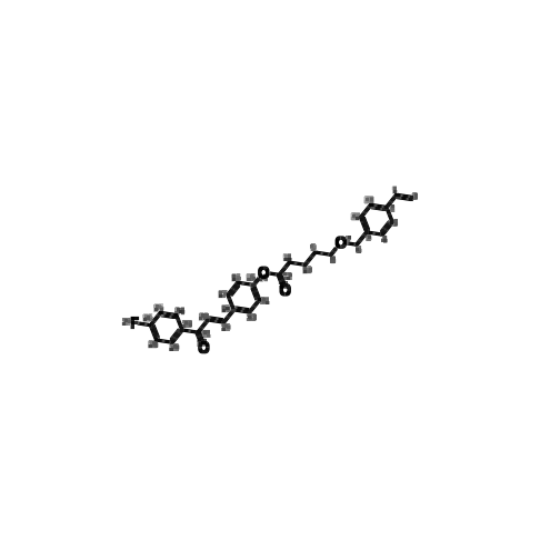 C=Cc1ccc(COCCCCC(=O)Oc2ccc(C=CC(=O)c3ccc(F)cc3)cc2)cc1